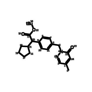 Cc1cnn(Cc2ccc(C(C(=O)OC(C)(C)C)C3CCCC3)cc2)c(=O)c1